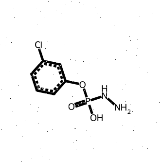 NNP(=O)(O)Oc1cccc(Cl)c1